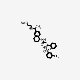 COCCNC(C)c1ccc2c(c1)CCC[C@H]2NC(=O)C[C@@H](NS(=O)(=O)c1cccc(C(F)(F)F)c1)c1ccccc1